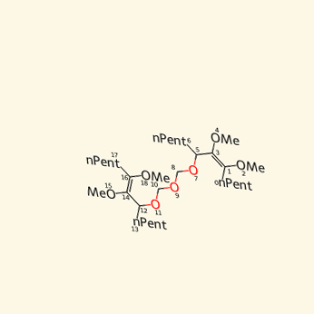 CCCCCC(OC)=C(OC)C(CCCCC)OCOCOC(CCCCC)C(OC)=C(CCCCC)OC